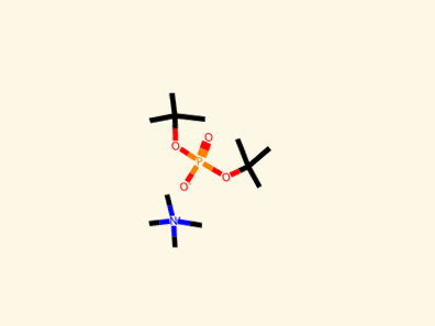 CC(C)(C)OP(=O)([O-])OC(C)(C)C.C[N+](C)(C)C